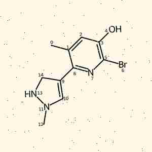 Cc1cc(O)c(Br)nc1C1=CN(C)NC1